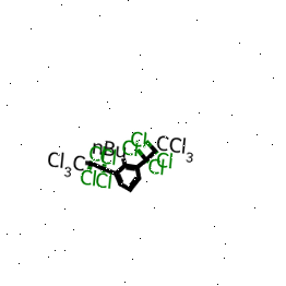 [CH2]CCCc1c(C(Cl)(Cl)C(Cl)(Cl)C(Cl)(Cl)Cl)cccc1C(Cl)(Cl)C(Cl)(Cl)C(Cl)(Cl)Cl